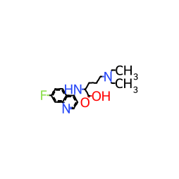 CCN(CC)CCCC(Nc1ccnc2cc(F)ccc12)C(=O)O